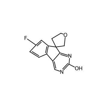 Oc1ncc2c(n1)C1(CCOC1)c1cc(F)ccc1-2